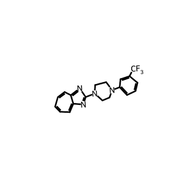 FC(F)(F)c1cccc(N2CCN(c3nc4cccccc-4n3)CC2)c1